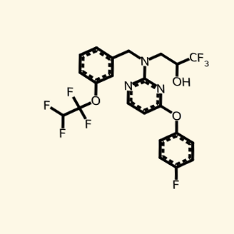 OC(CN(Cc1cccc(OC(F)(F)C(F)F)c1)c1nccc(Oc2ccc(F)cc2)n1)C(F)(F)F